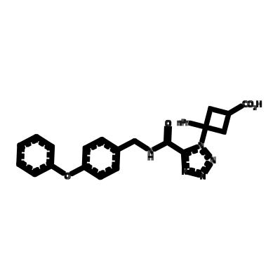 CCCC1(n2nnnc2C(=O)NCc2ccc(Oc3ccccc3)cc2)CC(C(=O)O)C1